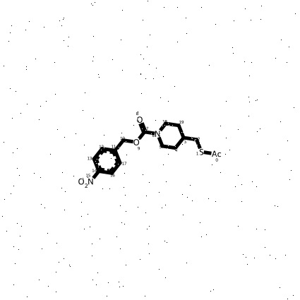 CC(=O)SCC1CCN(C(=O)OCc2ccc([N+](=O)[O-])cc2)CC1